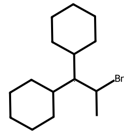 CC(Br)[C](C1CCCCC1)C1CCCCC1